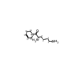 NCCCC[C@H](N)C(=O)N1CC=CCC1